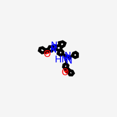 c1ccc(C2=NC(c3ccc4c(c3)c3ccccc3c3nc5cc6c(cn5c43)oc3ccccc36)NC(c3ccc4oc5ccccc5c4c3)=N2)cc1